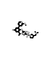 COc1cc(-c2cc(F)cc(C(C)C)c2Oc2nnc(S(=O)(=O)N3CCC(CN(C)C)C3)[nH]2)ccn1